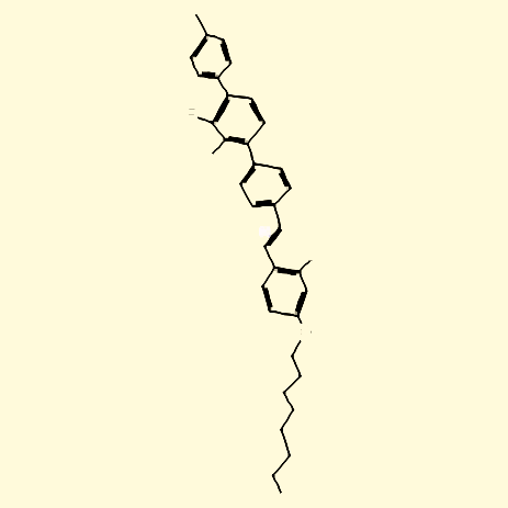 CCCCCCCCOc1ccc(/C=C/c2ccc(-c3ccc(-c4ccc(C)cc4)c(F)c3F)cc2)c(F)c1